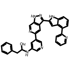 OC(Cc1ccccc1)Nc1cncc(-c2cc3c(-c4cc5c(-c6ccccn6)cccc5[nH]4)n[nH]c3cn2)c1